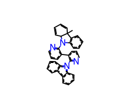 CC12C=CC=CC1N(c1ncccc1-c1cccnc1-n1c3ccccc3c3ccccc31)c1ccccc12